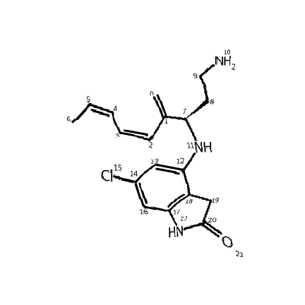 C=C(/C=C\C=C/C)[C@@H](CCN)Nc1cc(Cl)cc2c1CC(=O)N2